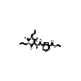 CCCn1c(N)c(NC(=O)C23CCCC(C(=O)OCC)(CC2)C3)c(=O)n(CCC)c1=O